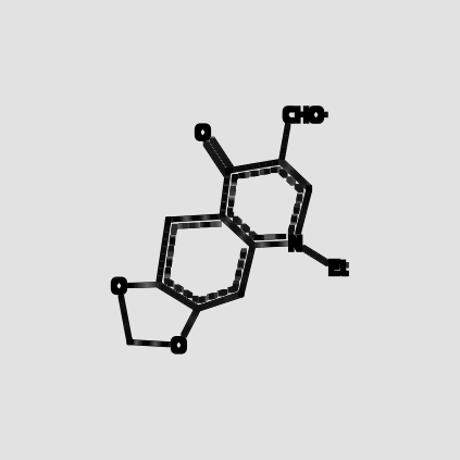 CCn1cc([C]=O)c(=O)c2cc3c(cc21)OCO3